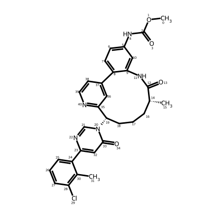 COC(=O)Nc1ccc2c(c1)NC(=O)[C@H](C)CCC[C@H](n1cnc(-c3cccc(Cl)c3C)cc1=O)c1cc-2ccn1